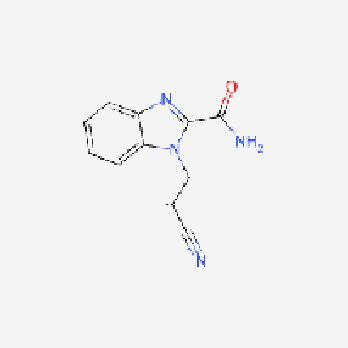 N#C[CH]Cn1c(C(N)=O)nc2ccccc21